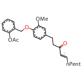 CCCCC/C=C/C(=O)CCc1ccc(OCc2ccccc2OC(C)=O)c(OC)c1